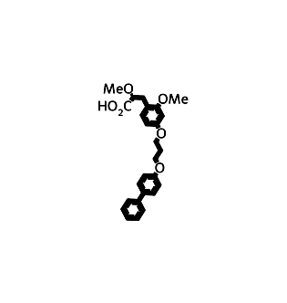 COc1cc(OCCCOc2ccc(-c3ccccc3)cc2)ccc1C[C@H](OC)C(=O)O